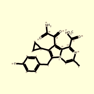 Cc1cn2c(Cc3ccc(F)cc3)c(C3CC3)c(C(=O)C(N)=O)c2c(C(=O)C(=O)O)n1